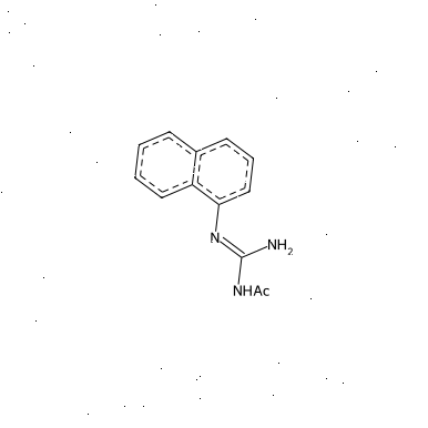 CC(=O)NC(N)=Nc1cccc2ccccc12